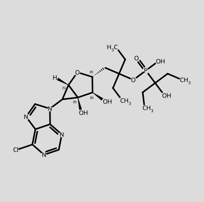 CCC(CC)(C[C@H]1O[C@H]2C(n3cnc4c(Cl)ncnc43)[C@@]2(O)[C@@H]1O)OP(=O)(O)C(O)(CC)CC